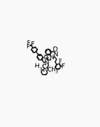 CC(C)(CN(Cc1ccc(-c2ccc(C(F)(F)F)cc2)cc1)C(=O)Cn1c(CCc2cccc(F)c2F)nc(=O)c2ccccc21)N1CCCCC1